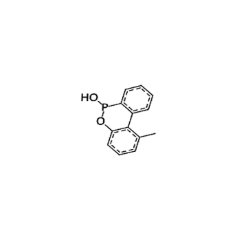 Cc1cccc2c1-c1ccccc1P(O)O2